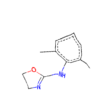 Cc1cccc(C)c1NC1=NCCO1